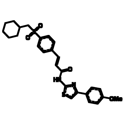 COc1ccc(-c2csc(NC(=O)C=Cc3ccc(S(=O)(=O)CC4CCCCC4)cc3)n2)cc1